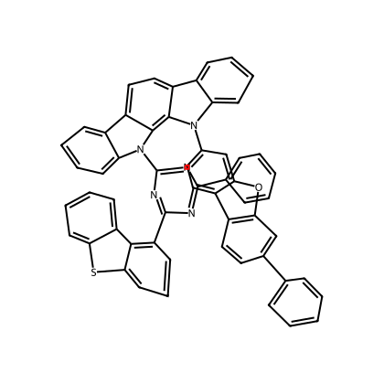 c1ccc(-c2ccc3c(c2)oc2cc(-n4c5ccccc5c5ccc6c7ccccc7n(-c7nc(-c8ccccc8)nc(-c8cccc9sc%10ccccc%10c89)n7)c6c54)ccc23)cc1